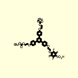 CC(C)(C)OC(=O)O/C=C\Oc1ccc(-c2cc(-c3ccc(OCCOC(=O)OC(C)(C)C)cc3)cc(-c3ccc(OCCOc4c(F)c(F)c(S(=O)(=O)O)c(F)c4F)cc3)c2)cc1